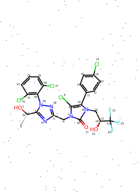 C[C@H](O)c1nc(Cn2c(Cl)c(-c3ccc(Cl)cc3)n(C[C@H](O)C(F)(F)F)c2=O)nn1-c1c(Cl)cccc1Cl